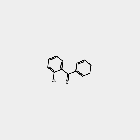 N#Cc1ccccc1C(=O)C1=CC[CH]C=C1